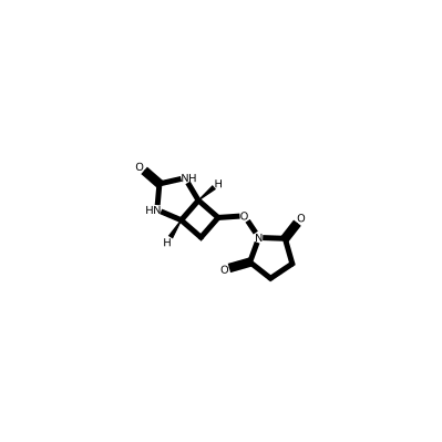 O=C1N[C@H]2CC(ON3C(=O)CCC3=O)[C@H]2N1